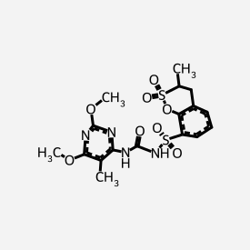 COc1nc(NC(=O)NS(=O)(=O)c2cccc3c2OS(=O)(=O)C(C)C3)c(C)c(OC)n1